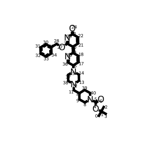 CC(C)(C)OC(=O)N1CCC(CN2CCN(C3C=CC(=C4C=CC(=O)N=C4OCc4ccccc4)N=C3)CC2)CC1